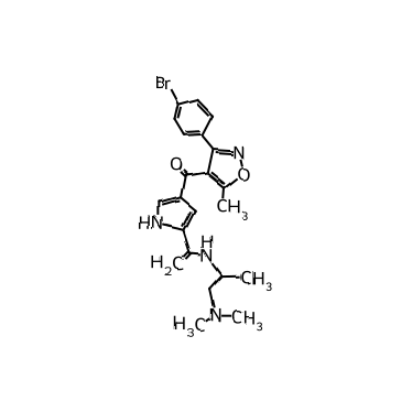 C=C(NC(C)CN(C)C)c1cc(C(=O)c2c(-c3ccc(Br)cc3)noc2C)c[nH]1